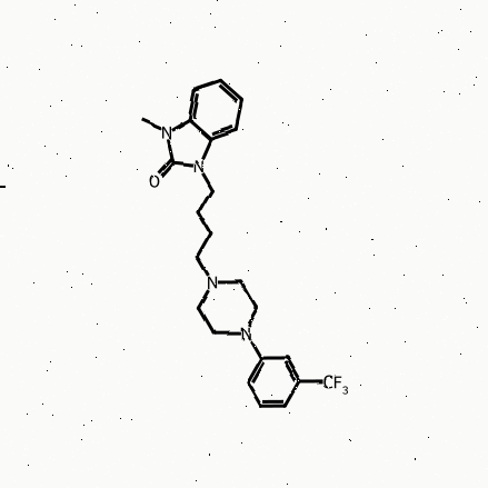 Cn1c(=O)n(CCCCN2CCN(c3cccc(C(F)(F)F)c3)CC2)c2ccccc21